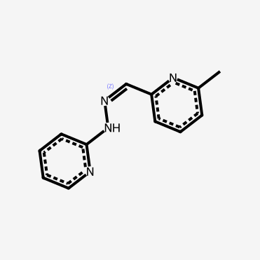 Cc1cccc(/C=N\Nc2ccccn2)n1